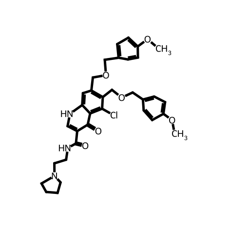 COc1ccc(COCc2cc3[nH]cc(C(=O)NCCN4CCCC4)c(=O)c3c(Cl)c2COCc2ccc(OC)cc2)cc1